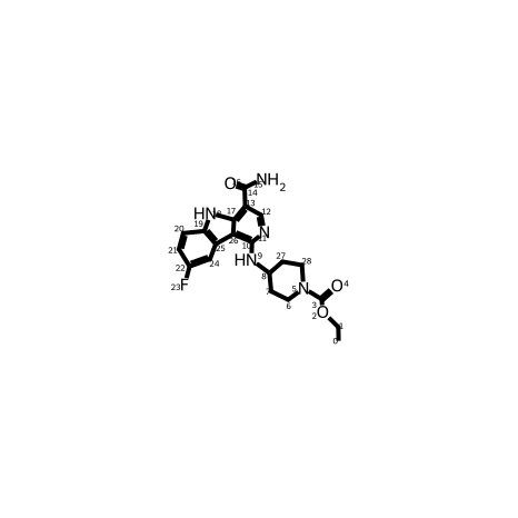 CCOC(=O)N1CCC(Nc2ncc(C(N)=O)c3[nH]c4ccc(F)cc4c23)CC1